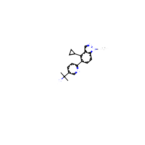 COn1ncc2c(C3CC3)c(-c3ccc(C(C)(C)N)cn3)ccc21